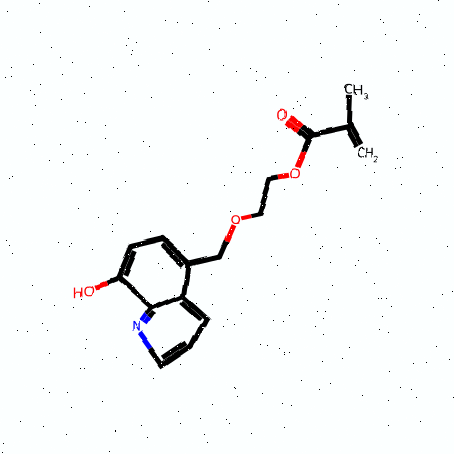 C=C(C)C(=O)OCCOCc1ccc(O)c2ncccc12